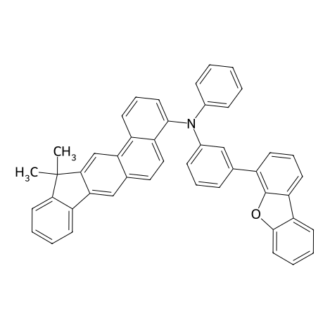 CC1(C)c2ccccc2-c2cc3ccc4c(N(c5ccccc5)c5cccc(-c6cccc7c6oc6ccccc67)c5)cccc4c3cc21